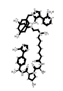 Cc1ncsc1-c1ccc([C@H](C)NC(=O)[C@@H]2C[C@@H](O)CN2C(=O)[C@@H](NC(=O)CCCCCCN(C)CCOC23CC4(C)CC(C)(CC(Cn5ncc(-c6cccnc6C(=O)O)c5C)(C4)C2)C3)C(C)(C)C)cc1